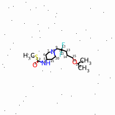 CSC(=O)NC1CCN(CC(F)(F)CCCOC(C)C)CC1